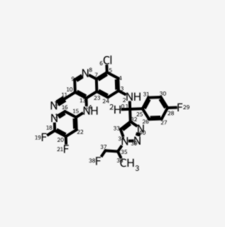 [2H]C(Nc1cc(Cl)c2ncc(C#N)c(Nc3cnc(F)c(F)c3)c2c1)(c1ccc(F)cc1)c1cn(C(C)CF)nn1